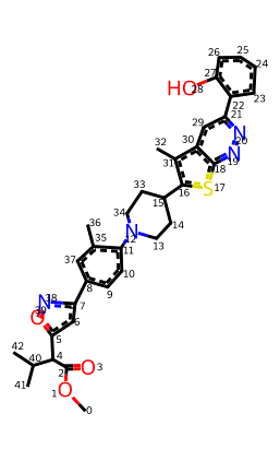 COC(=O)C(c1cc(-c2ccc(N3CCC(c4sc5nnc(-c6ccccc6O)cc5c4C)CC3)c(C)c2)no1)C(C)C